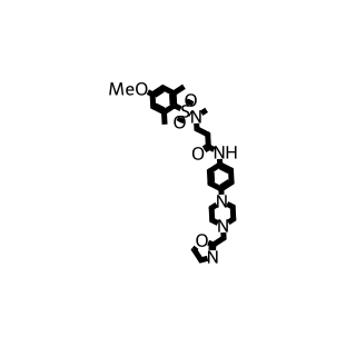 COc1cc(C)c(S(=O)(=O)N(C)CCC(=O)Nc2ccc(N3CCN(CC4=NCCO4)CC3)cc2)c(C)c1